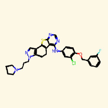 Fc1cccc(COc2ccc(Nc3ncnc4sc5c(c34)CCc3c-5cnn3CCCN3CCCC3)cc2Cl)c1